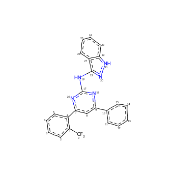 FC(F)(F)c1ccccc1-c1cc(-c2ccccc2)nc(Nc2n[nH]c3ccccc23)n1